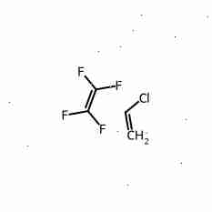 C=CCl.FC(F)=C(F)F